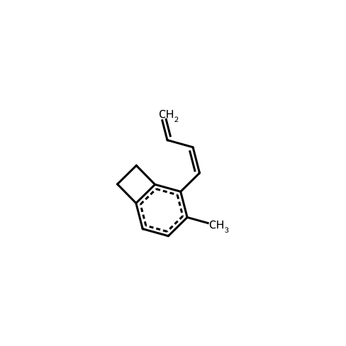 C=C/C=C\c1c(C)ccc2c1CC2